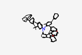 Cc1cc(-c2ccccc2)cc2c1N(c1ccc3c(c1)C(C)(C)c1cc(C45CC6CC(CC(C6)C4)C5)ccc1-3)c1ccc3c(c1)C(c1ccccc1)(c1ccccc1-3)c1ccccc1-2